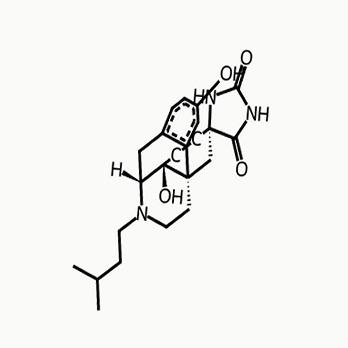 CC(C)CCN1CC[C@]23C[C@]4(CC[C@@]2(O)[C@H]1Cc1ccc(O)cc13)NC(=O)NC4=O